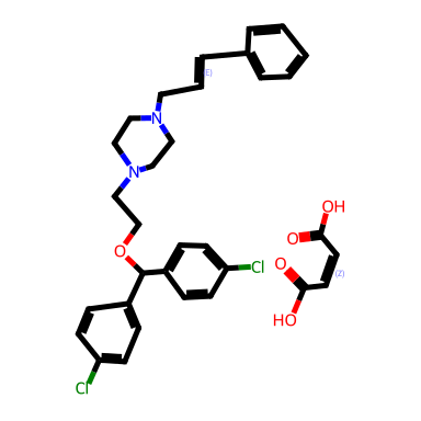 Clc1ccc(C(OCCN2CCN(C/C=C/c3ccccc3)CC2)c2ccc(Cl)cc2)cc1.O=C(O)/C=C\C(=O)O